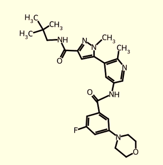 Cc1ncc(NC(=O)c2cc(F)cc(N3CCOCC3)c2)cc1-c1cc(C(=O)NCC(C)(C)C)nn1C